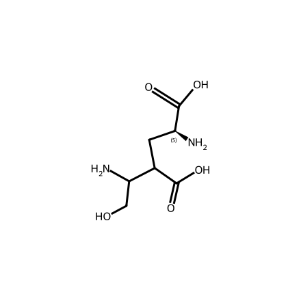 NC(CO)C(C[C@H](N)C(=O)O)C(=O)O